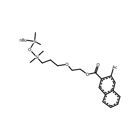 CCCC[Si](C)(C)O[Si](C)(C)CCCOCCOC(=O)c1cc2ccccc2cc1C(C)=O